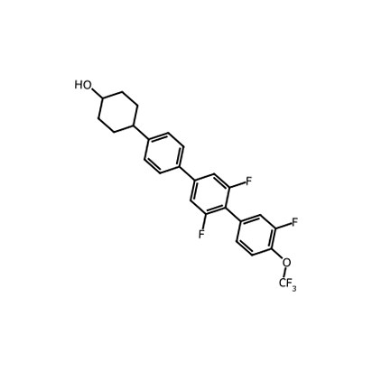 OC1CCC(c2ccc(-c3cc(F)c(-c4ccc(OC(F)(F)F)c(F)c4)c(F)c3)cc2)CC1